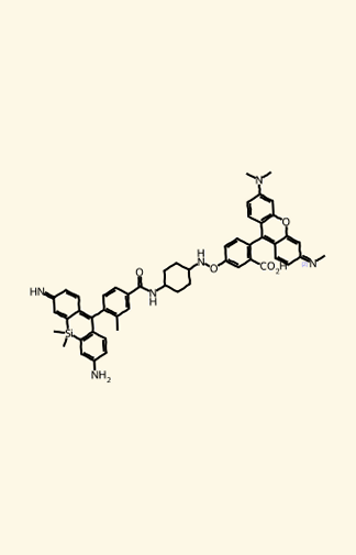 C/N=c1/ccc2c(-c3ccc(ONC4CCC(NC(=O)c5ccc(C6=C7C=CC(=N)C=C7[Si](C)(C)c7cc(N)ccc76)c(C)c5)CC4)cc3C(=O)O)c3ccc(N(C)C)cc3oc-2c1